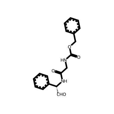 O=C[C@@H](NC(=O)CNC(=O)OCc1ccccc1)c1ccccc1